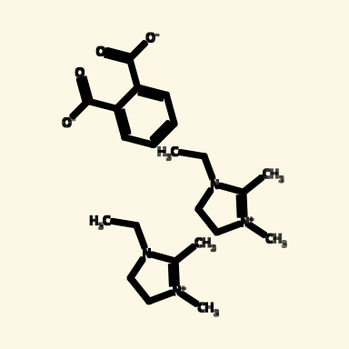 CCN1CC[N+](C)=C1C.CCN1CC[N+](C)=C1C.O=C([O-])c1ccccc1C(=O)[O-]